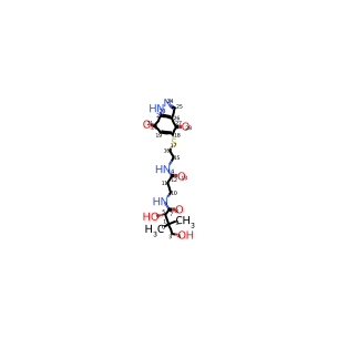 CC(C)(CO)[C@@H](O)C(=O)NCCC(=O)NCCSC1=CC(=O)c2[nH]ncc2C1=O